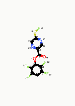 O=C(Oc1c(F)c(F)cc(F)c1F)c1cnc(SF)cn1